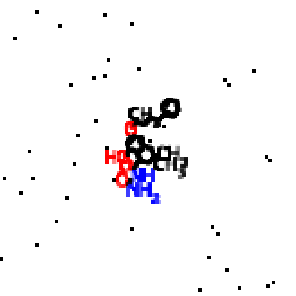 CC(CCCc1ccccc1)Oc1cc(O)c2c(c1)CC(C)(C)CC2C(=O)NC(N)=O